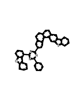 c1ccc(-c2nc(-c3ccc4c(ccc5ccc6cc7c(cc6c54)sc4ccccc47)c3)nc(-c3cccc4oc5ccccc5c34)n2)cc1